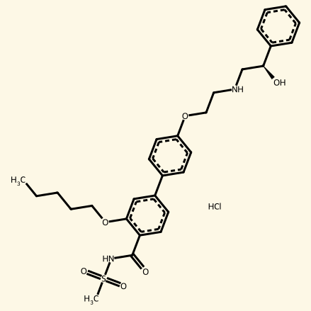 CCCCCOc1cc(-c2ccc(OCCNC[C@H](O)c3ccccc3)cc2)ccc1C(=O)NS(C)(=O)=O.Cl